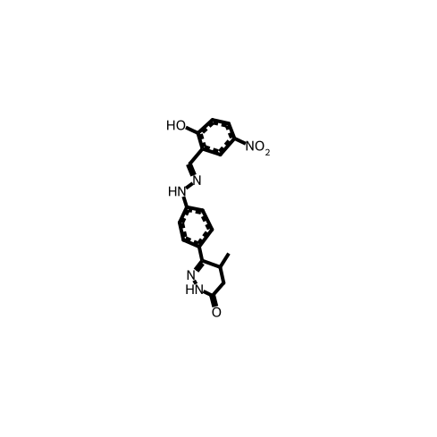 CC1CC(=O)NN=C1c1ccc(N/N=C/c2cc([N+](=O)[O-])ccc2O)cc1